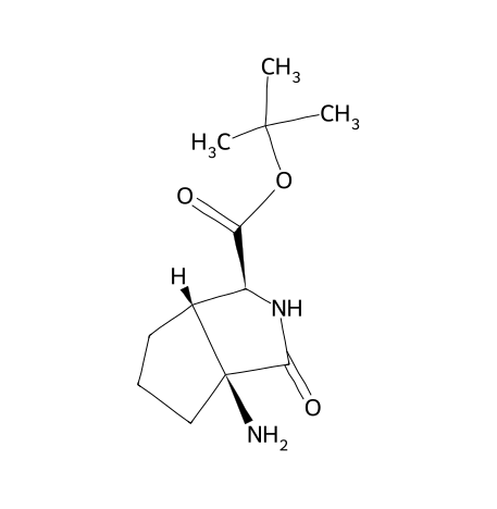 CC(C)(C)OC(=O)[C@H]1NC(=O)[C@]2(N)CCC[C@H]12